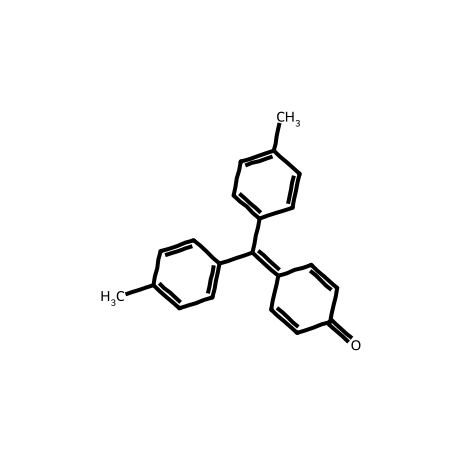 Cc1ccc(C(=C2C=CC(=O)C=C2)c2ccc(C)cc2)cc1